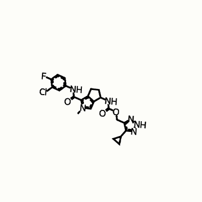 Cn1cc2c(c1C(=O)Nc1ccc(F)c(Cl)c1)CCC2NC(=O)OCc1n[nH]nc1C1CC1